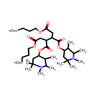 CCCCCCCCCCCCCOC(=O)CC(C(=O)OC1CC(C)(C)N(C)C(C)C1C)C(CC(=O)OCCCCCCCCCCCCC)C(=O)OC1CC(C)(C)N(C)C(C)C1C